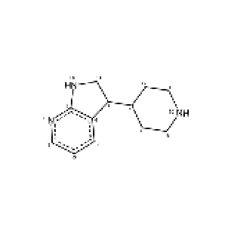 c1cnc2c(c1)C(C1CCNCC1)CN2